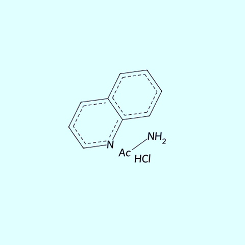 CC(N)=O.Cl.c1ccc2ncccc2c1